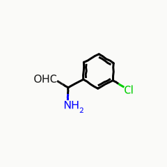 NC(C=O)c1cccc(Cl)c1